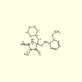 CCC1C=CC=CC1OCC1(CC2CCCCC2)NC(=N)N(C)C1=O